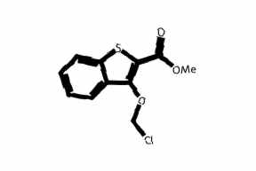 COC(=O)c1sc2ccccc2c1OCCl